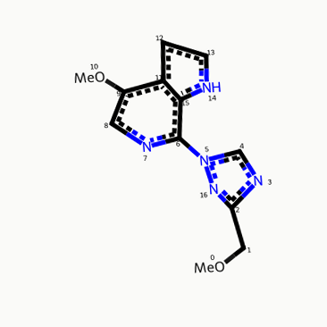 COCc1ncn(-c2ncc(OC)c3cc[nH]c23)n1